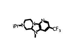 CC(C)N1CCN2c3ncc(C(F)(F)F)cc3N(C)C2C1